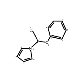 ClP(Oc1ccccc1)n1cccc1